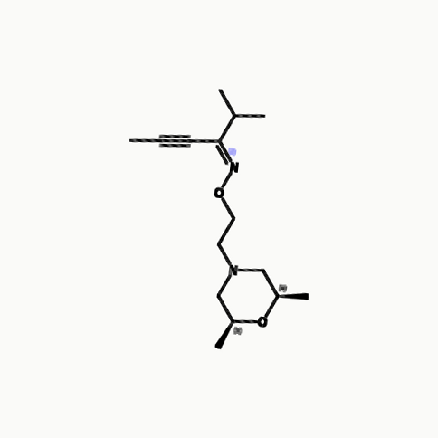 CC#C/C(=N\OCCN1C[C@@H](C)O[C@@H](C)C1)C(C)C